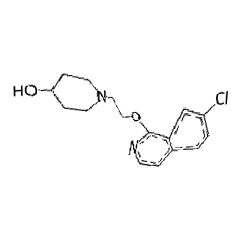 OC1CCN(CCOc2nccc3ccc(Cl)cc23)CC1